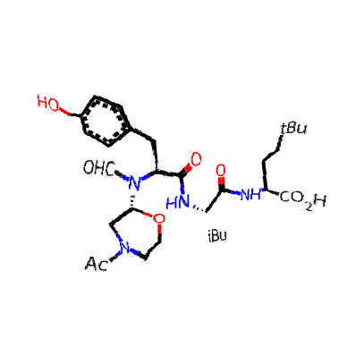 CC[C@H](C)[C@H](NC(=O)[C@H](Cc1ccc(O)cc1)N(C=O)[C@H]1CN(C(C)=O)CCO1)C(=O)N[C@@H](CCC(C)(C)C)C(=O)O